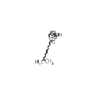 CC(C)CCCCCCCCCC(=O)OCC(F)(F)S(=O)(=O)O